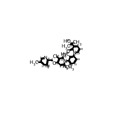 Cc1cnc(COc2cc(C)n(-c3c(C)ccc(-n4cccc(C(C)(C)O)c4=O)c3C)c(=O)c2Cl)c(F)c1